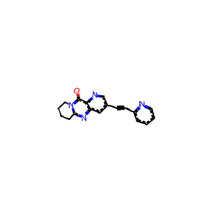 O=c1c2ncc(C#Cc3ccccn3)cc2nc2n1CCCC2